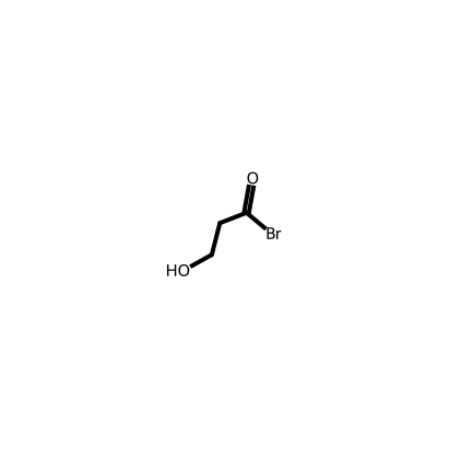 O=C(Br)CCO